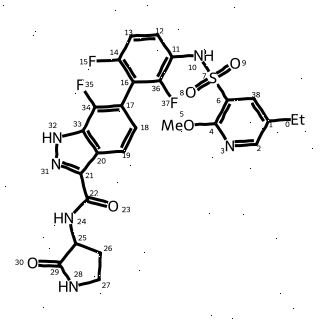 CCc1cnc(OC)c(S(=O)(=O)Nc2ccc(F)c(-c3ccc4c(C(=O)NC5CCNC5=O)n[nH]c4c3F)c2F)c1